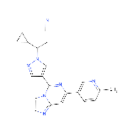 Cc1ccc(-c2cc3nccn3c(-c3cnn(C(CC#N)C4CC4)c3)n2)cn1